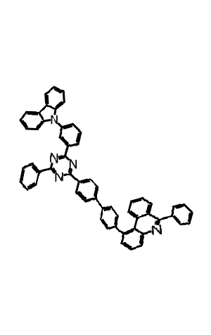 c1ccc(-c2nc(-c3ccc(-c4ccc(-c5cccc6nc(-c7ccccc7)c7ccccc7c56)cc4)cc3)nc(-c3cccc(-n4c5ccccc5c5ccccc54)c3)n2)cc1